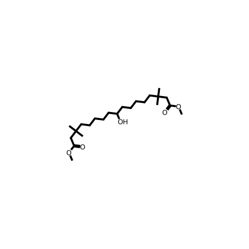 COC(=O)CC(C)(C)CCCCCC(O)CCCCCC(C)(C)CC(=O)OC